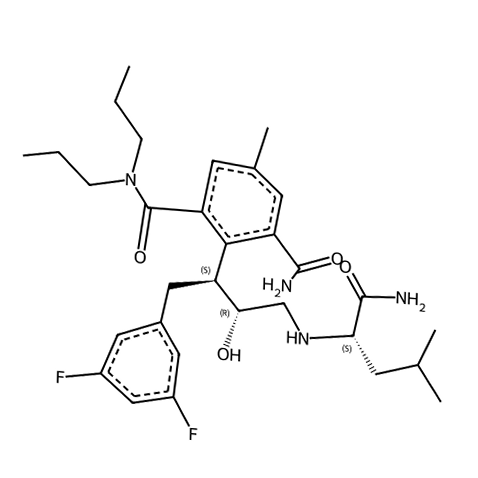 CCCN(CCC)C(=O)c1cc(C)cc(C(N)=O)c1[C@H](Cc1cc(F)cc(F)c1)[C@@H](O)CN[C@@H](CC(C)C)C(N)=O